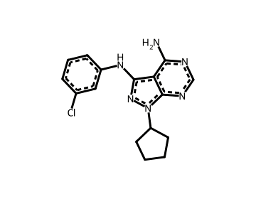 Nc1ncnc2c1c(Nc1cccc(Cl)c1)nn2C1CCCC1